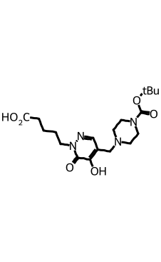 CC(C)(C)OC(=O)N1CCN(Cc2cnn(CCCCC(=O)O)c(=O)c2O)CC1